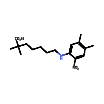 CCOC(=O)C(C)(C)CCCCCNc1cc(C)c(C)cc1[N+](=O)[O-]